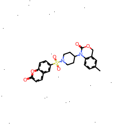 Cc1ccc2c(c1)COC(=O)N2C1CCN(S(=O)(=O)c2ccc3oc(=O)ccc3c2)CC1